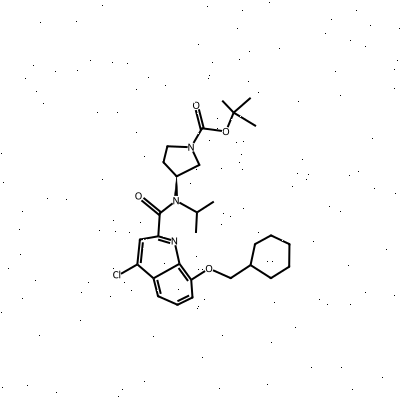 CC(C)N(C(=O)c1cc(Cl)c2cccc(OCC3CCCCC3)c2n1)[C@H]1CCN(C(=O)OC(C)(C)C)C1